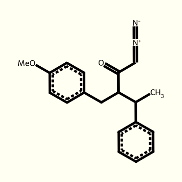 COc1ccc(CC(C(=O)C=[N+]=[N-])C(C)c2ccccc2)cc1